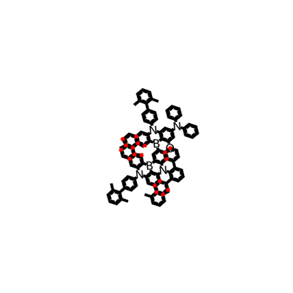 Cc1cccc(C)c1-c1ccc(N2c3ccc(-c4c(C)cccc4C)cc3B3c4cc5c(cc4Oc4cc(N(c6ccccc6)c6ccccc6)cc2c43)N(c2c(-c3ccccc3)cccc2-c2ccccc2)c2cc(-c3c(C)cccc3C)cc3c2B5c2cc(-c4c(C)cccc4C)ccc2N3c2ccc(-c3c(C)cccc3C)cc2)cc1